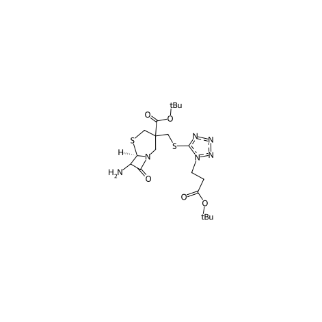 CC(C)(C)OC(=O)CCn1nnnc1SCC1(C(=O)OC(C)(C)C)CS[C@@H]2C(N)C(=O)N2C1